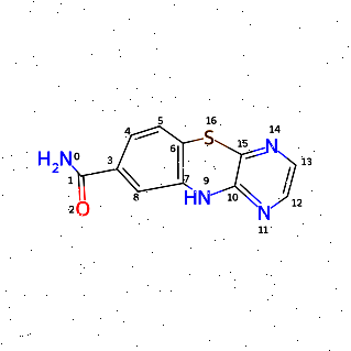 NC(=O)c1ccc2c(c1)Nc1nccnc1S2